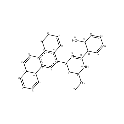 COC1CC(c2cc3c(c4c2C=CCC4)C=CC2C=CC=CC32)N=C(C2C=CC=CC2O)N1